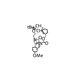 COc1ccc(C2CN(CCO[Si](C)(C)C(C)(C)C)C(=O)C2NC(=O)OCc2ccccc2)c(F)c1